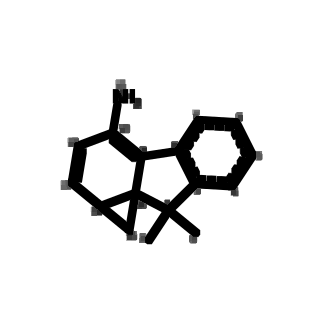 CC1(C)c2ccccc2C2=C(N)C=CC3CC231